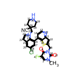 Cn1cc(F)c(=O)n(Cc2cc3nccc(-c4cc(Cl)cc5ccn(CC6(C#N)CCNCC6)c45)c3s2)c1=O